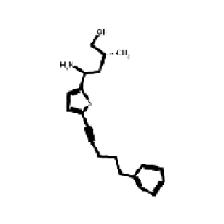 C[C@@H](CO)CC(N)c1ccc(C#CCCCc2ccccc2)s1